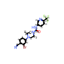 C[C@@H]1CN(c2ccc(C#N)c(Br)c2)[C@@H](C)CN1C(=O)Nc1ccc(C(F)(F)F)nc1